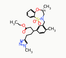 CCOC(=O)CC(CCc1cn(C)nn1)c1ccc(C)c(CN2C[C@@H](C)Oc3ccccc3S2(=O)=O)c1